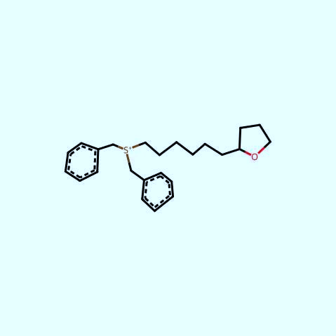 c1ccc(C[S+](CCCCCCC2CCCO2)Cc2ccccc2)cc1